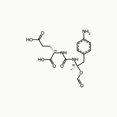 C[C@@](Cc1ccc(N)cc1)(NC(=O)N[C@@H](CCC(=O)O)C(=O)O)OC=O